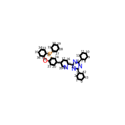 c1ccc(-c2nc(-c3ccccc3)nc(-c3ccc(-c4ccc5c(c4)P(c4ccccc4)c4ccccc4O5)cn3)n2)cc1